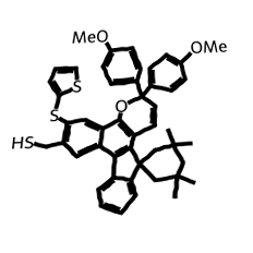 COc1ccc(C2(c3ccc(OC)cc3)C=Cc3c4c(c5cc(CS)c(Sc6cccs6)cc5c3O2)-c2ccccc2C42CC(C)(C)CC(C)(C)C2)cc1